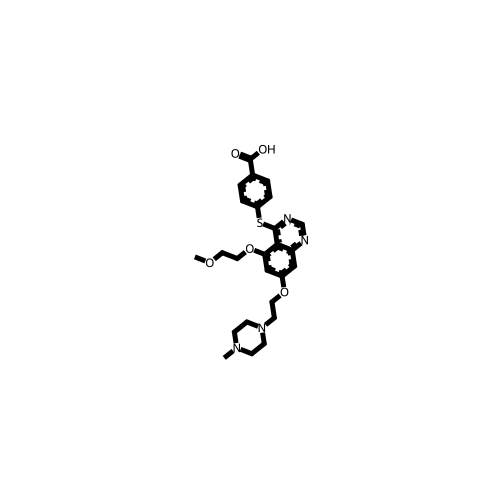 COCCOc1cc(OCCN2CCN(C)CC2)cc2ncnc(Sc3ccc(C(=O)O)cc3)c12